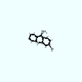 Nc1c2ccccc2nc2cc(Br)ccc12